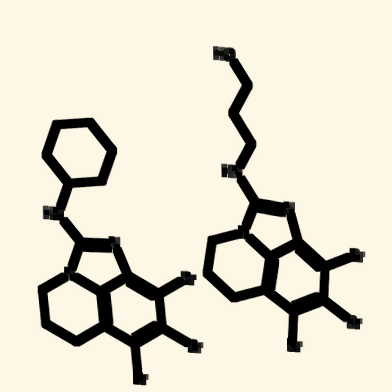 Brc1c(Br)c2c3c(nc(NC4CCCCC4)n3CCC2)c1Br.OCCCNc1nc2c(Br)c(Br)c(Br)c3c2n1CCC3